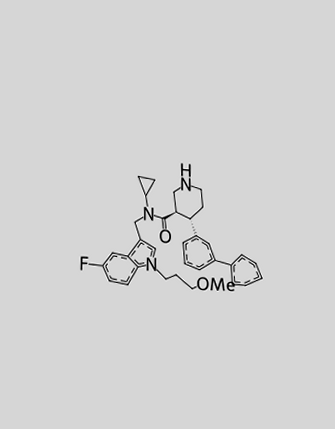 COCCCn1cc(CN(C(=O)[C@H]2CNCC[C@@H]2c2cccc(-c3ccccc3)c2)C2CC2)c2cc(F)ccc21